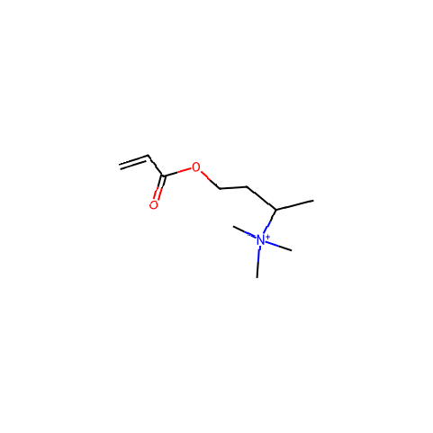 C=CC(=O)OCCC(C)[N+](C)(C)C